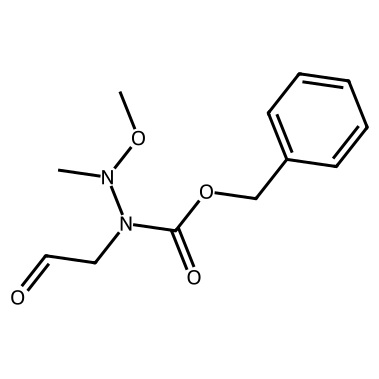 CON(C)N(CC=O)C(=O)OCc1ccccc1